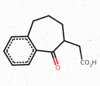 O=C(O)CC1CCCc2ccccc2C1=O